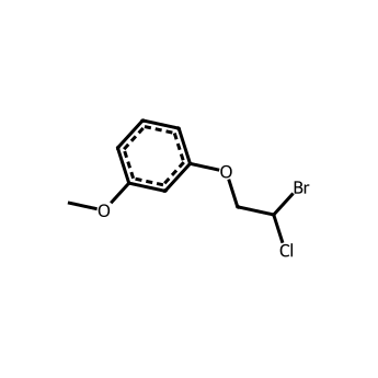 COc1cccc(OCC(Cl)Br)c1